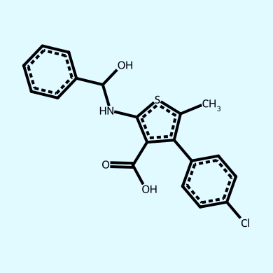 Cc1sc(NC(O)c2ccccc2)c(C(=O)O)c1-c1ccc(Cl)cc1